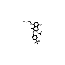 Cc1c(Cc2ccc(S(C)(=O)=O)cc2)c(OC(F)F)nc2c(Cl)ccc(OCC(=O)O)c12